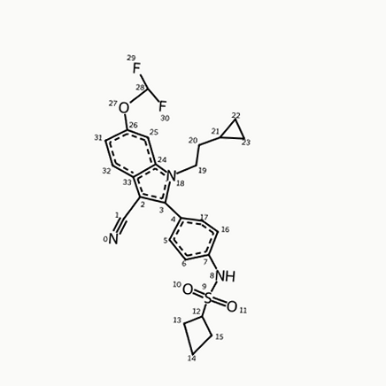 N#Cc1c(-c2ccc(NS(=O)(=O)C3CCC3)cc2)n(CCC2CC2)c2cc(OC(F)F)ccc12